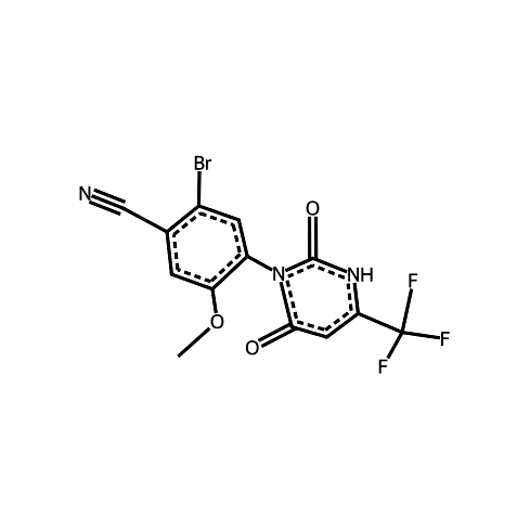 COc1cc(C#N)c(Br)cc1-n1c(=O)cc(C(F)(F)F)[nH]c1=O